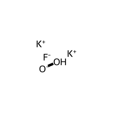 [F-].[K+].[K+].[O-]O